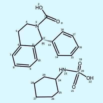 O=C(O)N1CCc2ccccc2[C@H]1c1ccccc1.O=S(=O)(O)NC1CCCCC1